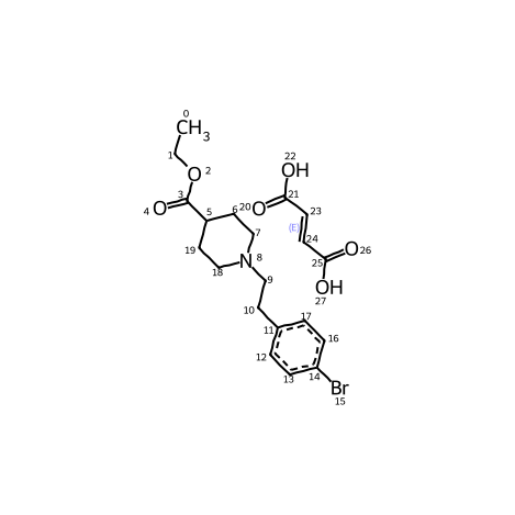 CCOC(=O)C1CCN(CCc2ccc(Br)cc2)CC1.O=C(O)/C=C/C(=O)O